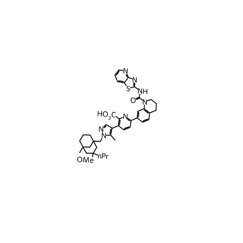 CCCC1(OC)CC2(C)CCCC(Cn3ncc(-c4ccc(-c5ccc6c(c5)N(C(=O)Nc5nc7ncccc7s5)CCC6)nc4C(=O)O)c3C)(C2)C1